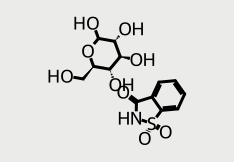 O=C1NS(=O)(=O)c2ccccc21.OC[C@H]1OC(O)[C@H](O)[C@@H](O)[C@@H]1O